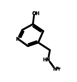 CCCNCc1cncc(O)c1